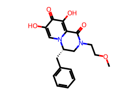 COCCN1C[C@H](Cc2ccccc2)n2cc(O)c(=O)c(O)c2C1=O